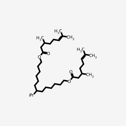 CC(C)=CCCC(C)CC(=O)OCCCCCCC(CCCCCCOC(=O)CC(C)CCC=C(C)C)C(C)C